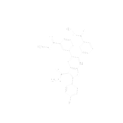 CNC(=O)c1c(-c2ccc(F)cc2)oc2nc(-c3cccc(C(=O)OC(C)(C)C)c3)c(-c3cccc(C(=O)OC(C)(C)C)c3)cc12